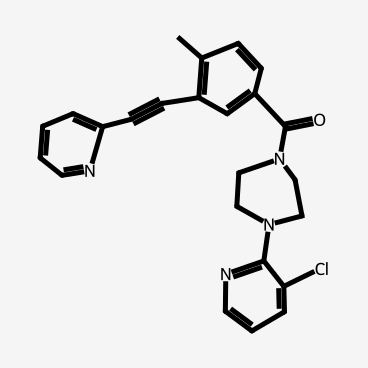 Cc1ccc(C(=O)N2CCN(c3ncccc3Cl)CC2)cc1C#Cc1ccccn1